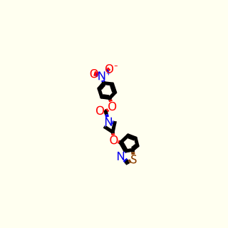 O=C(Oc1ccc([N+](=O)[O-])cc1)N1CC(Oc2cccc3scnc23)C1